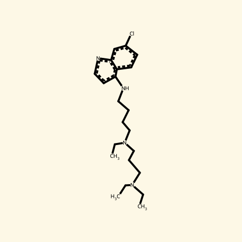 CCN(CC)CCCN(CC)CCCCNc1ccnc2cc(Cl)ccc12